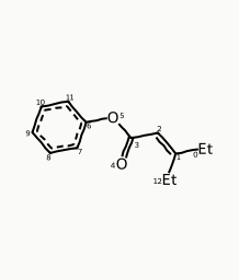 CCC(=CC(=O)Oc1ccccc1)CC